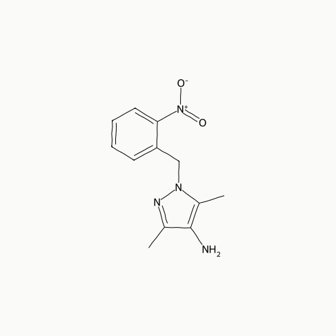 Cc1nn(Cc2ccccc2[N+](=O)[O-])c(C)c1N